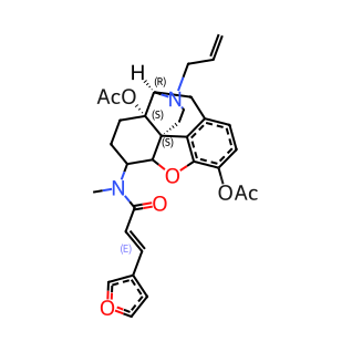 C=CCN1CC[C@]23c4c5ccc(OC(C)=O)c4OC2C(N(C)C(=O)/C=C/c2ccoc2)CC[C@@]3(OC(C)=O)[C@H]1C5